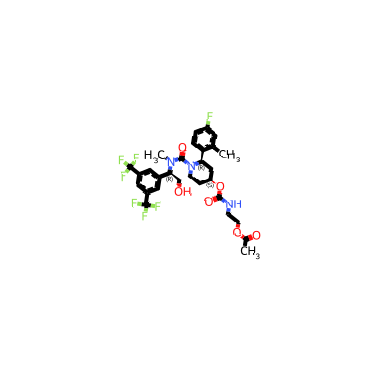 CC(=O)OCCNC(=O)O[C@H]1CCN(C(=O)N(C)[C@@H](CO)c2cc(C(F)(F)F)cc(C(F)(F)F)c2)[C@@H](c2ccc(F)cc2C)C1